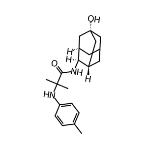 Cc1ccc(NC(C)(C)C(=O)N[C@H]2[C@@H]3CC4C[C@H]2C[C@](O)(C4)C3)cc1